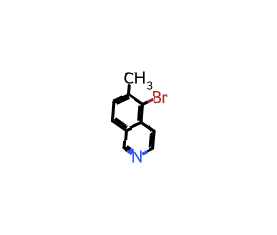 Cc1ccc2cnccc2c1Br